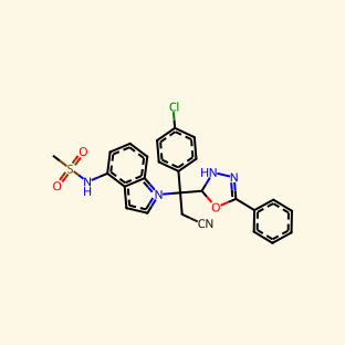 CS(=O)(=O)Nc1cccc2c1ccn2C(CC#N)(c1ccc(Cl)cc1)C1NN=C(c2ccccc2)O1